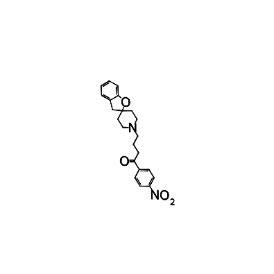 O=C(CCCN1CCC2(CC1)Cc1ccccc1O2)c1ccc([N+](=O)[O-])cc1